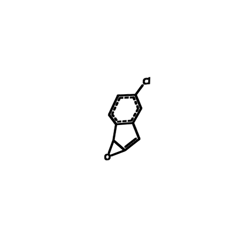 Clc1ccc2c(c1)C=C1OC12